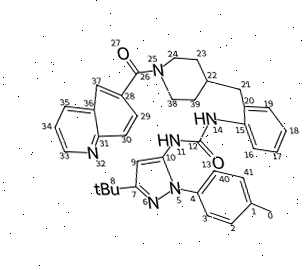 Cc1ccc(-n2nc(C(C)(C)C)cc2NC(=O)Nc2ccccc2CC2CCN(C(=O)c3ccc4ncccc4c3)CC2)cc1